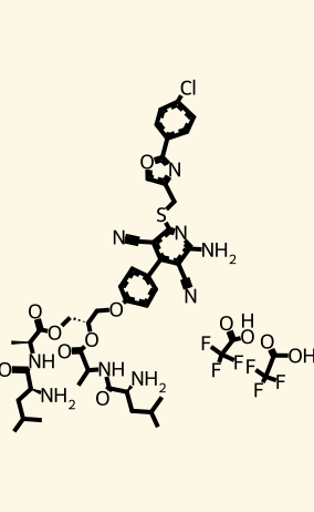 CC(C)C[C@H](N)C(=O)NC(C)C(=O)O[C@H](COC(=O)[C@H](C)NC(=O)[C@@H](N)CC(C)C)COc1ccc(-c2c(C#N)c(N)nc(SCc3coc(-c4ccc(Cl)cc4)n3)c2C#N)cc1.O=C(O)C(F)(F)F.O=C(O)C(F)(F)F